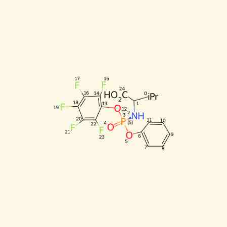 CC(C)C(N[P@](=O)(Oc1ccccc1)Oc1c(F)c(F)c(F)c(F)c1F)C(=O)O